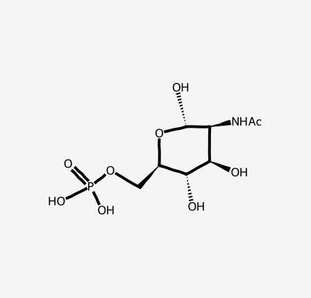 CC(=O)N[C@H]1[C@@H](O)[C@H](O)[C@@H](COP(=O)(O)O)O[C@@H]1O